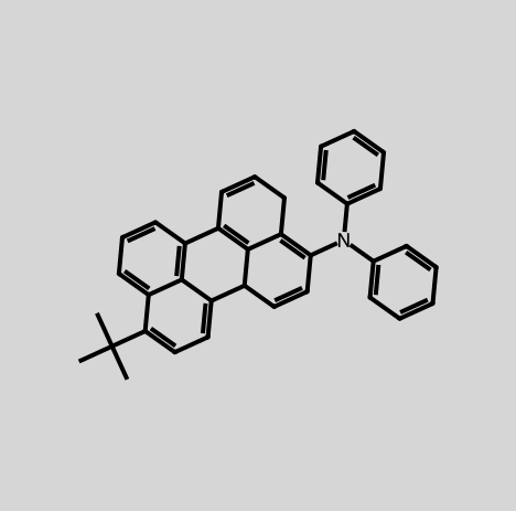 CC(C)(C)c1ccc2c3c(cccc13)C1=C3C(=C(N(c4ccccc4)c4ccccc4)C=CC32)CC=C1